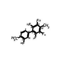 Cc1ccc(-c2c(F)c(F)c(C)c(F)c2F)cc1F